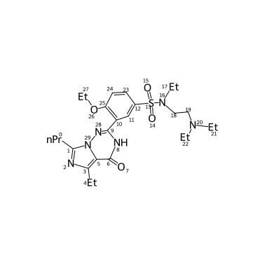 CCCc1nc(CC)c2c(=O)[nH]c(-c3cc(S(=O)(=O)N(CC)CCN(CC)CC)ccc3OCC)nn12